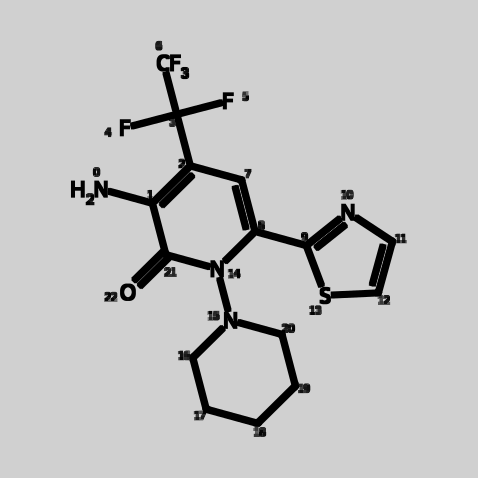 Nc1c(C(F)(F)C(F)(F)F)cc(-c2nccs2)n(N2CCCCC2)c1=O